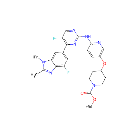 Cc1nc2c(F)cc(-c3nc(Nc4ccc(OC5CCN(C(=O)OC(C)(C)C)CC5)cn4)ncc3F)cc2n1C(C)C